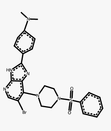 CN(C)c1ccc(-c2nc3c(N4CCN(S(=O)(=O)c5ccccc5)CC4)c(Br)cnc3[nH]2)cc1